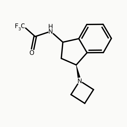 O=C(NC1C[C@H](N2CCC2)c2ccccc21)C(F)(F)F